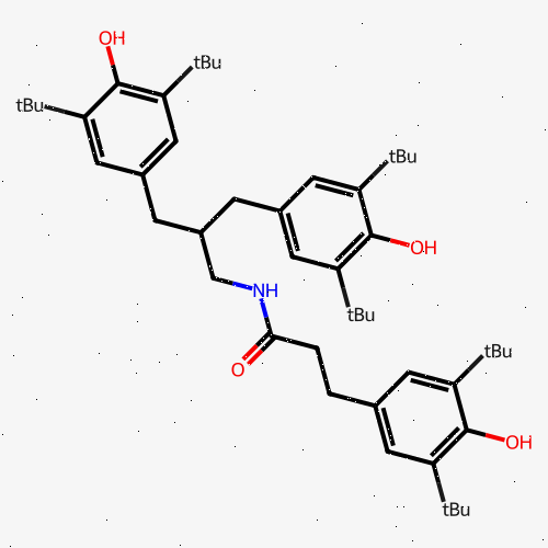 CC(C)(C)c1cc(CCC(=O)NCC(Cc2cc(C(C)(C)C)c(O)c(C(C)(C)C)c2)Cc2cc(C(C)(C)C)c(O)c(C(C)(C)C)c2)cc(C(C)(C)C)c1O